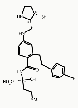 CSCC[C@](C)(NC(=O)c1ccc(NC[C@@H]2NCC[C@@H]2S)cc1CCc1ccc(F)cc1)C(=O)O